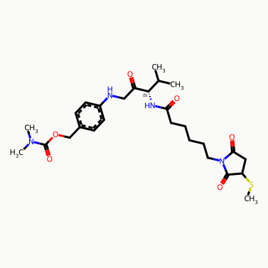 CSC1CC(=O)N(CCCCCC(=O)N[C@H](C(=O)CNc2ccc(COC(=O)N(C)C)cc2)C(C)C)C1=O